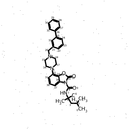 CC(C)CC(C)(C)NC(=O)n1c(=O)oc2c(N3CCN(Cc4cccc(-c5ccccc5)c4)CC3)cccc21